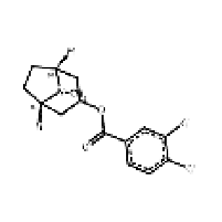 CN1[C@@H]2CC[C@H]1CC(OC(=O)c1ccc(Cl)c(Cl)c1)C2